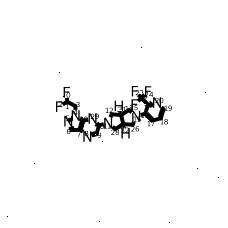 FC(F)Cn1ncc2ncc(N3C[C@@H]4CN(c5cccnc5C(F)(F)F)C[C@@H]4C3)nc21